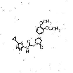 CCOc1cc([C@@H]2CC(=O)N(CC(=O)Nc3nnc(C4CC4)s3)C2)ccc1OC